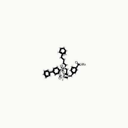 COC(=O)c1ccc(Cn2cnnc2CN(CCCCc2ccccc2)S(=O)(=O)c2ccc(-c3ccccc3)cc2OC(F)(F)F)cc1